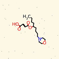 CCCCC(CCCCN1CCOCC1)OC(=O)/C=C/C(=O)O